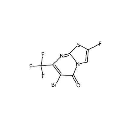 O=c1c(Br)c(C(F)(F)F)nc2sc(F)cn12